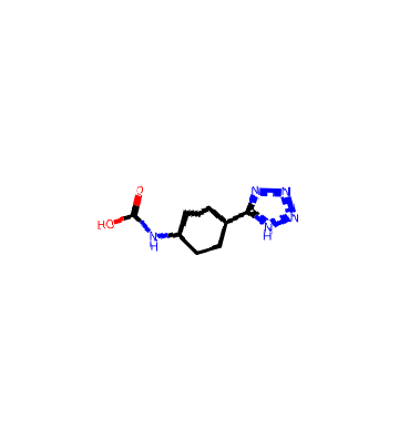 O=C(O)NC1CCC(c2nnn[nH]2)CC1